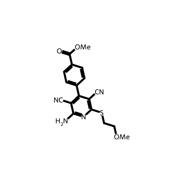 COCCSc1nc(N)c(C#N)c(-c2ccc(C(=O)OC)cc2)c1C#N